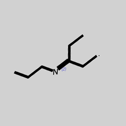 [CH2]C/C(CC)=N/CCC